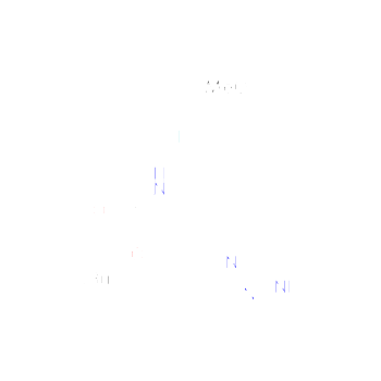 COc1ccc(-c2c[nH]nn2)c(CNC(=O)OC(C)(C)C)c1F